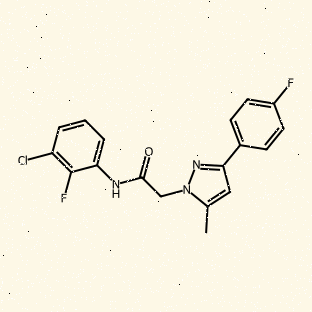 Cc1cc(-c2ccc(F)cc2)nn1CC(=O)Nc1cccc(Cl)c1F